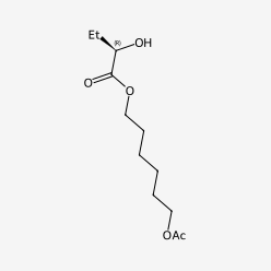 CC[C@@H](O)C(=O)OCCCCCCOC(C)=O